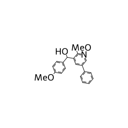 COc1ccc(C(O)c2cc(-c3ccccc3)cnc2OC)cc1